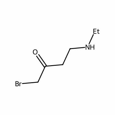 CCNCCC(=O)CBr